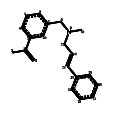 C=C(C)c1cccc(CN(C)CC=Cc2ccccc2)c1